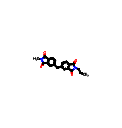 CCCN1C(=O)c2ccc(Cc3ccc4c(c3)C(=O)N(C)C4=O)cc2C1=O